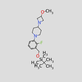 COC1CN(C2CCN(c3cccc(CO[Si](C)(C)C(C)(C)C)c3F)CC2)C1